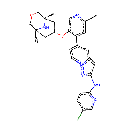 Cc1cc(-c2ccn3nc(Nc4ccc(F)cn4)cc3c2)c(O[C@H]2C[C@H]3COC[C@@H](C2)N3)cn1